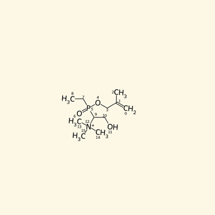 C=C(C)COP(=O)(CC)C(CO)[N+](C)(C)C